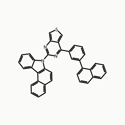 c1cc(-c2cccc3ccccc23)cc(-c2nc(-n3c4ccccc4c4c5ccccc5ccc43)nc3cscc23)c1